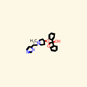 C[N+]1(CCc2ccncn2)CCC(OC(=O)C(O)(c2ccccc2)c2ccccc2)CC1